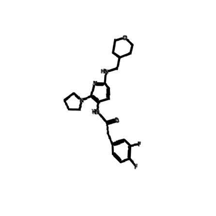 O=C(Cc1ccc(F)c(F)c1)Nc1ccc(NCC2CCOCC2)nc1N1CCCC1